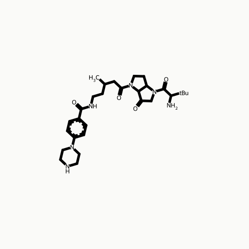 CC(CCNC(=O)c1ccc(N2CCNCC2)cc1)CC(=O)N1CCC2C1C(=O)CN2C(=O)C(N)C(C)(C)C